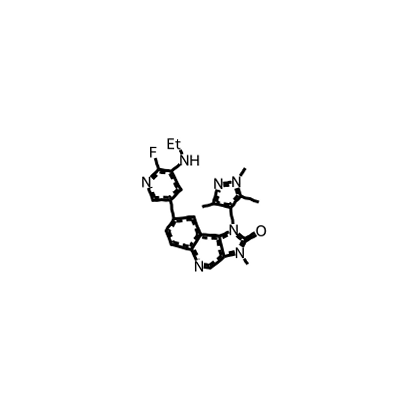 CCNc1cc(-c2ccc3ncc4c(c3c2)n(-c2c(C)nn(C)c2C)c(=O)n4C)cnc1F